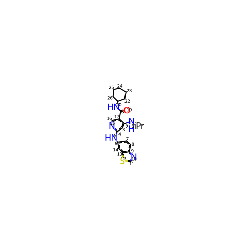 CC(C)Nc1cc(Nc2ccc3ncsc3c2)ncc1C(=O)NC1CCCCC1